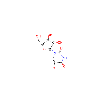 [O]c1cn([C@@H]2O[C@H](CO)[C@@H](O)[C@H]2O)c(=O)[nH]c1=O